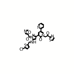 O=C(Cn1cc(-c2ccccn2)cc(-c2cc(NCc3ccc(Cl)s3)n(C(=O)c3cnco3)n2)c1=O)c1nccs1